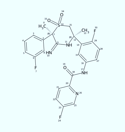 C[C@@]1(c2cccc(F)c2)C(=N)N[C@](C)(c2cc(NC(=O)c3ccc(F)cn3)ccc2F)CS1(=O)=O